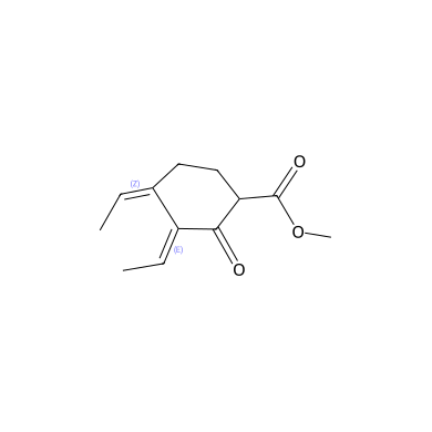 C/C=C1/CCC(C(=O)OC)C(=O)/C1=C/C